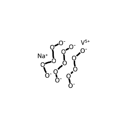 [Na+].[O-]OOO[O-].[O-]OOO[O-].[O-]OOO[O-].[V+5]